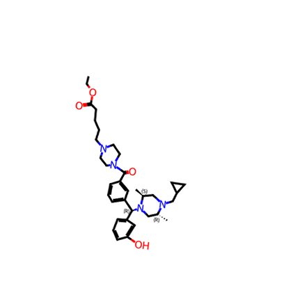 CCOC(=O)CCCCN1CCN(C(=O)c2cccc([C@H](c3cccc(O)c3)N3C[C@@H](C)N(CC4CC4)C[C@@H]3C)c2)CC1